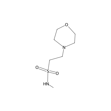 CNS(=O)(=O)CCN1CCOCC1